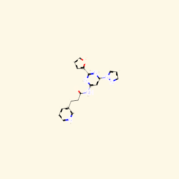 O=C(CCc1cccnc1)Nc1cc(-n2cccn2)nc(-c2ccco2)n1